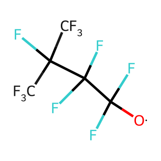 [O]C(F)(F)C(F)(F)C(F)(C(F)(F)F)C(F)(F)F